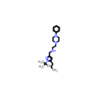 CCCc1cc(CNCCN2CCN(c3ccccc3)CC2)nn1C(C)(C)C